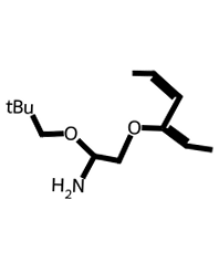 C/C=C\C(=C/C)OCC(N)OCC(C)(C)C